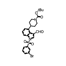 CC(C)(C)OC(=O)N1CCC(c2cccc3c2c(C=O)cn3S(=O)(=O)c2cccc(Br)c2)CC1